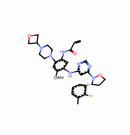 C=CC(=O)Nc1cc(Nc2cc(N3OCC[C@@H]3c3cccc(C)c3F)ncn2)c(OC)cc1N1CCN(C2COC2)CC1